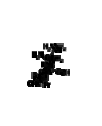 CC[C@H](C)C(NN[C@H](C=O)CC(C)C)C(=O)NC(=O)CN(CCc1ccc(O)cc1)C(=O)[C@@H]1CCCN1N[C@@H](CCCCN)C(=O)C(=O)[C@@H](N)CCCNC(N)N